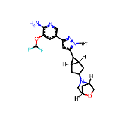 CC(C)n1nc(-c2cnc(N)c(OC(F)F)c2)cc1C1[C@H]2CC(N3C[C@@H]4C[C@H]3CO4)C[C@@H]12